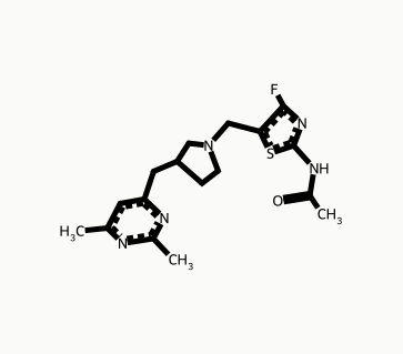 CC(=O)Nc1nc(F)c(CN2CCC(Cc3cc(C)nc(C)n3)C2)s1